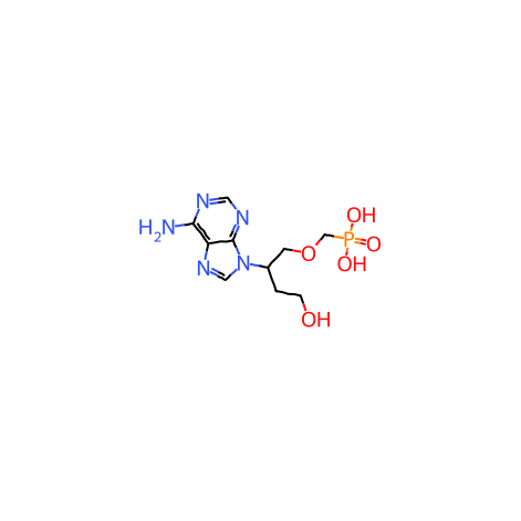 Nc1ncnc2c1ncn2C(CCO)COCP(=O)(O)O